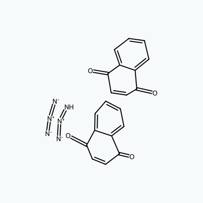 O=C1C=CC(=O)c2ccccc21.O=C1C=CC(=O)c2ccccc21.[N-]=[N+]=N.[N-]=[N+]=[N-]